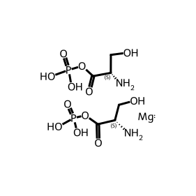 N[C@@H](CO)C(=O)OP(=O)(O)O.N[C@@H](CO)C(=O)OP(=O)(O)O.[Mg]